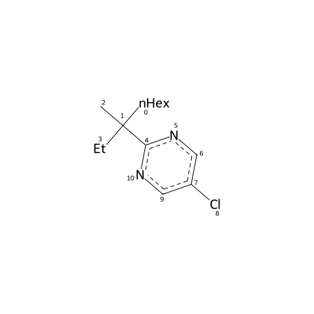 CCCCCCC(C)(CC)c1ncc(Cl)cn1